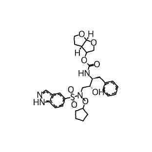 O=C(N[C@@H](Cc1ccccc1)[C@H](O)CN(OC1CCCC1)S(=O)(=O)c1ccc2[nH]ncc2c1)OC1CO[C@H]2OCC[C@@H]12